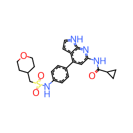 O=C(Nc1cc(-c2ccc(NS(=O)(=O)CC3CCOCC3)cc2)c2cc[nH]c2n1)C1CC1